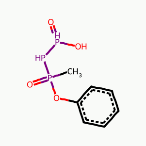 CP(=O)(Oc1ccccc1)P[PH](=O)O